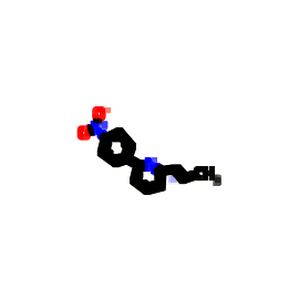 C/C=C/c1cccc(-c2ccc([N+](=O)[O-])cc2)n1